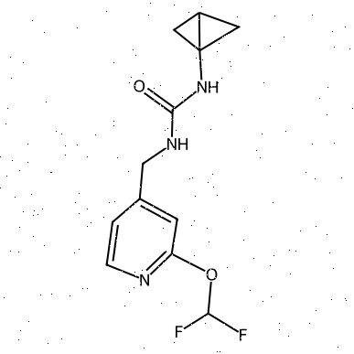 O=C(NCc1ccnc(OC(F)F)c1)NC12CC1C2